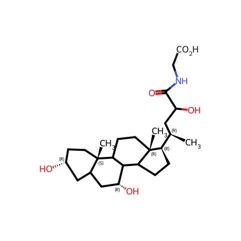 C[C@H](CC(O)C(=O)NCC(=O)O)[C@H]1CCC2C3C(CC[C@@]21C)[C@@]1(C)CC[C@@H](O)CC1C[C@H]3O